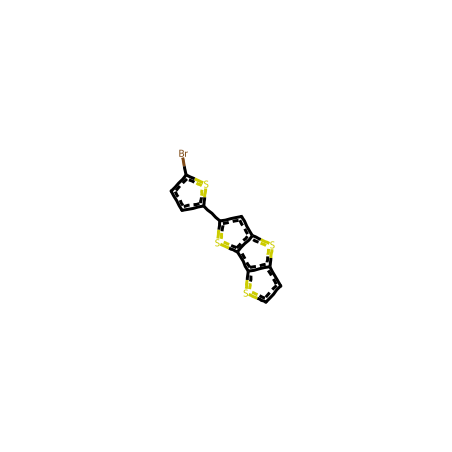 Brc1ccc(-c2cc3sc4ccsc4c3s2)s1